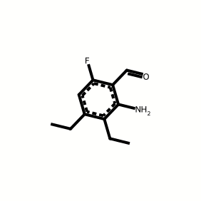 CCc1cc(F)c(C=O)c(N)c1CC